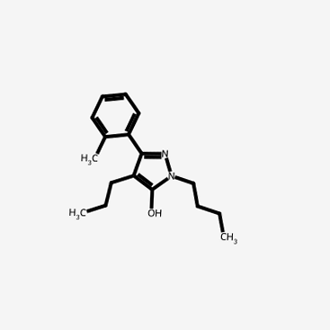 CCCCn1nc(-c2ccccc2C)c(CCC)c1O